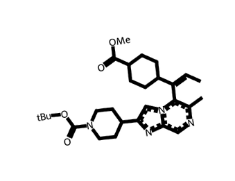 C/C=C(\c1c(C)ncc2nc(C3CCN(C(=O)OC(C)(C)C)CC3)cn12)C1CCC(C(=O)OC)CC1